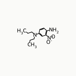 CCCN(CCC)c1ccc(N)c([N+](=O)[O-])c1